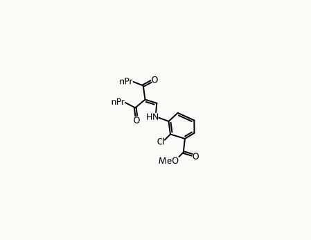 CCCC(=O)C(=CNc1cccc(C(=O)OC)c1Cl)C(=O)CCC